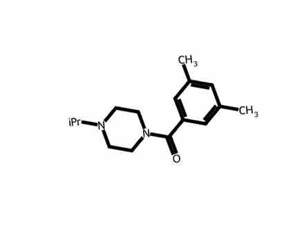 Cc1cc(C)cc(C(=O)N2CCN(C(C)C)CC2)c1